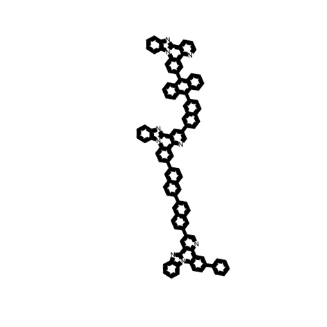 c1ccc(-c2ccc3c(c2)c2ncc(-c4ccc5cc(-c6ccc7cc(-c8ccc9c(c8)c8ncc(-c%10ccc%11ccc(-c%12c%13ccccc%13c(-c%13ccc%14c(c%13)c%13ncccc%13c%13nc%15ccccc%15n%14%13)c%13ccccc%12%13)cc%11c%10)cc8c8nc%10ccccc%10n98)ccc7c6)ccc5c4)cc2c2nc4ccccc4n32)cc1